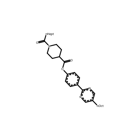 CCCCCCCCc1cnc(-c2ccc(OC(=O)C3CCN(C(=O)CCCCCCC)CC3)cc2)nc1